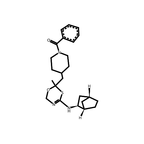 CC1(CC2CCN(C(=O)c3ccccc3)CC2)OCN=C(N[C@H]2C[C@@H]3CC[C@H]2C3)S1